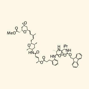 COC(=O)C[C@@H]1C[C@]2(CO2)C[C@@H](C=CC(C)=CC[C@@H]2O[C@H](C)[C@H](NC(=O)C=C[C@H](C)OC(=O)CCc3ccccc3NC(=O)[C@H](C)NC(=O)[C@@H](NC(=O)OCC3c4ccccc4-c4ccccc43)C(C)C)C[C@@H]2C)O1